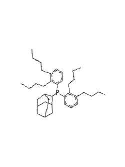 CCCCc1cccc(P(c2cccc(CCCC)c2CCCC)C2C3CC4CC(C3)CC2C4)c1CCCC